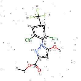 CCOC(=O)c1cc(OC)n(-c2c(Cl)cc(C(F)(F)F)cc2Cl)n1